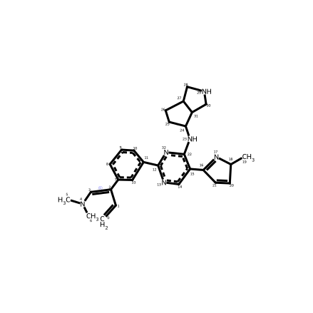 C=C/C(=C\N(C)C)c1cccc(-c2ncc(C3=NC(C)C=C3)c(NC3CCC4CNCC43)n2)c1